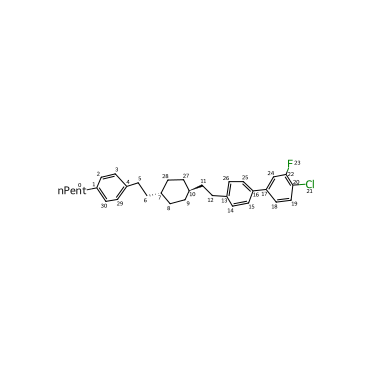 CCCCCc1ccc(CC[C@H]2CC[C@H](CCc3ccc(-c4ccc(Cl)c(F)c4)cc3)CC2)cc1